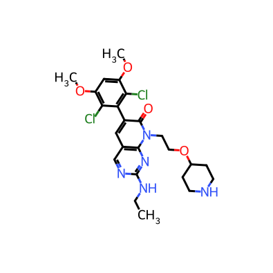 CCNc1ncc2cc(-c3c(Cl)c(OC)cc(OC)c3Cl)c(=O)n(CCOC3CCNCC3)c2n1